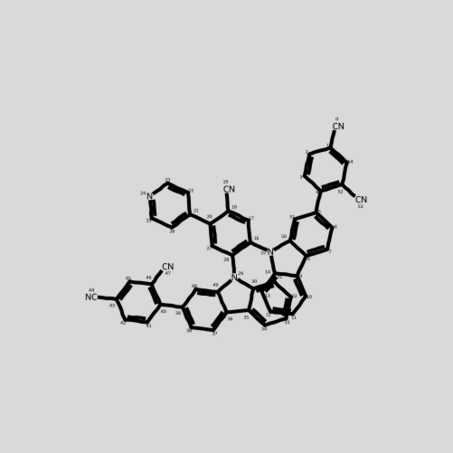 N#Cc1ccc(-c2ccc3c4ccccc4n(-c4cc(C#N)c(-c5ccncc5)cc4-n4c5ccccc5c5ccc(-c6ccc(C#N)cc6C#N)cc54)c3c2)c(C#N)c1